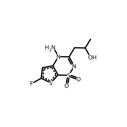 CC(O)CC1=NS(=O)(=O)c2sc(F)cc2N1N